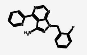 Nc1nn(Cc2ccccc2F)c2ncnc(-c3ccccn3)c12